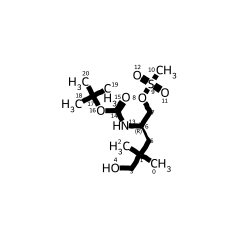 CC(C)(CO)C[C@H](COS(C)(=O)=O)NC(=O)OC(C)(C)C